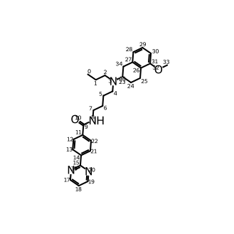 CCCN(CCCCNC(=O)c1ccc(-c2ncccn2)cc1)[C@@H]1CCc2c(cccc2OC)C1